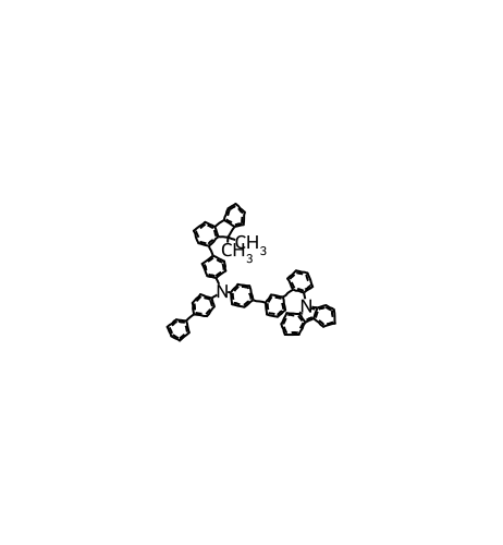 CC1(C)c2ccccc2-c2cccc(-c3ccc(N(c4ccc(-c5ccccc5)cc4)c4ccc(-c5cccc(-c6ccccc6-n6c7ccccc7c7ccccc76)c5)cc4)cc3)c21